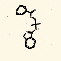 CC(C)(COC(=O)c1ccccc1)NC1=NCc2ccccc21